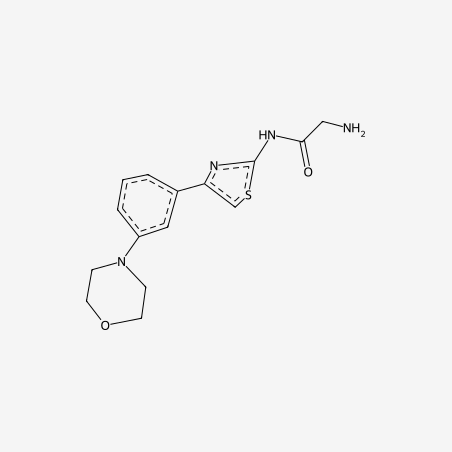 NCC(=O)Nc1nc(-c2cccc(N3CCOCC3)c2)cs1